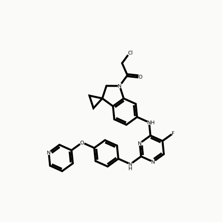 O=C(CCl)N1CC2(CC2)c2ccc(Nc3nc(Nc4ccc(Oc5cccnc5)cc4)ncc3F)cc21